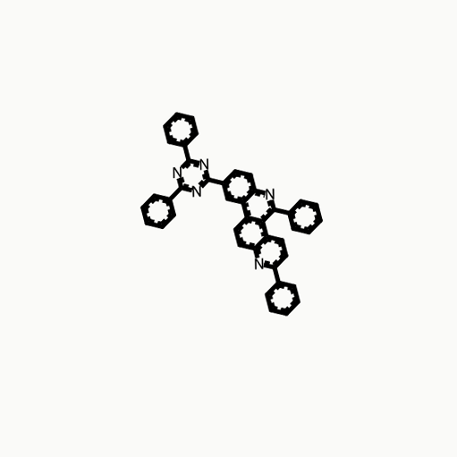 c1ccc(-c2ccc3c(ccc4c5cc(-c6nc(-c7ccccc7)nc(-c7ccccc7)n6)ccc5nc(-c5ccccc5)c34)n2)cc1